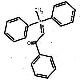 CP(=CC(=O)c1ccccc1)(c1ccccc1)c1ccccc1